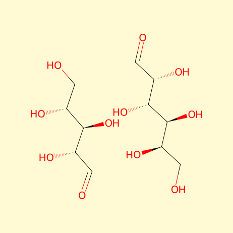 O=C[C@H](O)[C@@H](O)[C@@H](O)[C@H](O)CO.O=C[C@H](O)[C@H](O)[C@H](O)CO